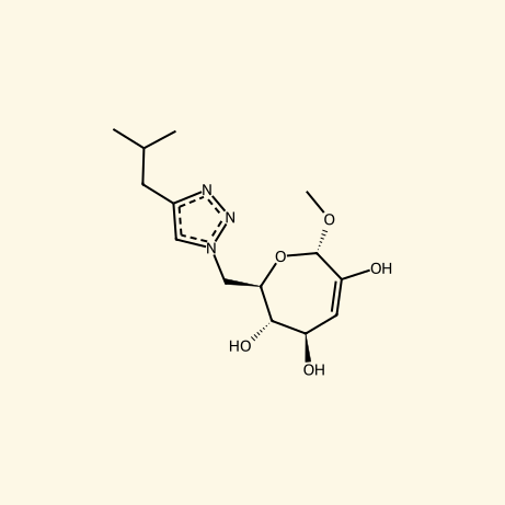 CO[C@H]1O[C@H](Cn2cc(CC(C)C)nn2)[C@@H](O)[C@H](O)C=C1O